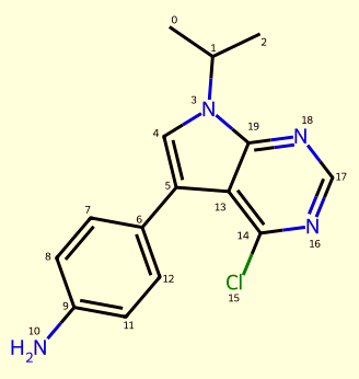 CC(C)n1cc(-c2ccc(N)cc2)c2c(Cl)ncnc21